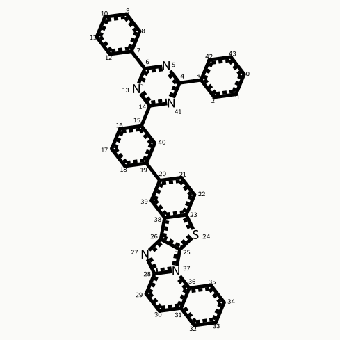 c1ccc(-c2nc(-c3ccccc3)nc(-c3cccc(-c4ccc5sc6c(nc7ccc8ccccc8n76)c5c4)c3)n2)cc1